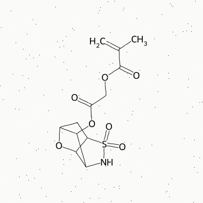 C=C(C)C(=O)OCC(=O)OC1C2CC3C(O2)C1NS3(=O)=O